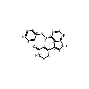 O=C1C=C(c2c[nH]c3ncnc(OCc4ccccc4)c23)CCN1